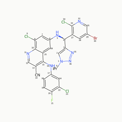 CC(C)n1cc([C@@H](Nc2cc(Cl)c3ncc(C#N)c(Nc4ccc(F)c(Cl)c4)c3c2)c2cc(Br)cnc2Cl)nn1